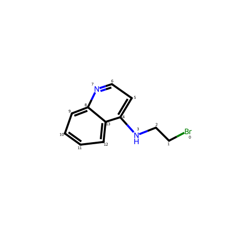 BrCCNc1ccnc2ccccc12